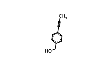 CC#Cc1ccc(CO)cc1